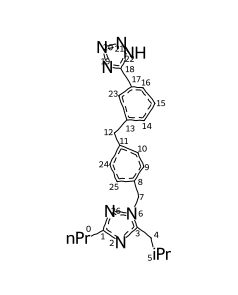 CCCc1nc(CC(C)C)n(Cc2ccc(Cc3cccc(-c4nnn[nH]4)c3)cc2)n1